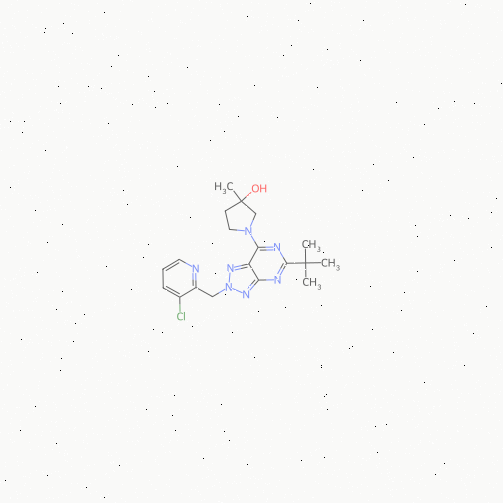 CC1(O)CCN(c2nc(C(C)(C)C)nc3nn(Cc4ncccc4Cl)nc23)C1